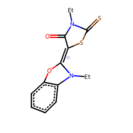 CCN1C(=O)/C(=C2\Oc3ccccc3N2CC)SC1=S